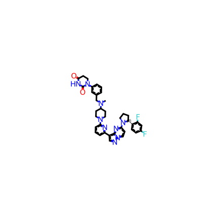 CN(Cc1cccc(N2CCC(=O)NC2=O)c1)C1CCN(c2cccc(-c3cnn4ccc(N5CCC[C@@H]5c5ccc(F)cc5F)nc34)n2)CC1